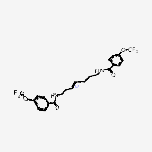 O=C(NCC/C=C/CCCNC(=O)c1ccc(OC(F)(F)F)cc1)c1ccc(OC(F)(F)F)cc1